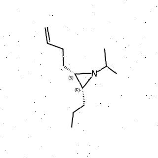 C=CCC[C@H]1[C@@H](CCC)N1C(C)C